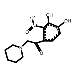 O=C(CN1CCCCC1)c1ccc(O)c(O)c1[N+](=O)[O-]